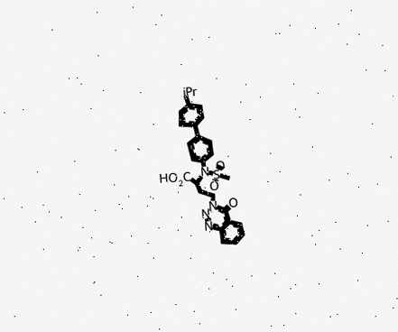 CC(C)c1ccc(-c2ccc(N(C(CCn3nnc4ccccc4c3=O)C(=O)O)S(C)(=O)=O)cc2)cc1